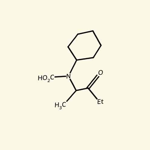 CCC(=O)C(C)N(C(=O)O)C1CCCCC1